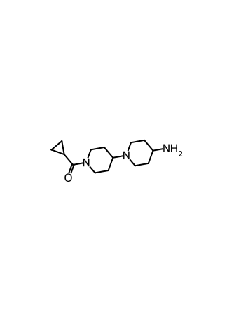 NC1CCN(C2CCN(C(=O)C3CC3)CC2)CC1